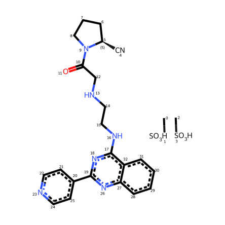 CS(=O)(=O)O.CS(=O)(=O)O.N#C[C@@H]1CCCN1C(=O)CNCCNc1nc(-c2ccncc2)nc2ccccc12